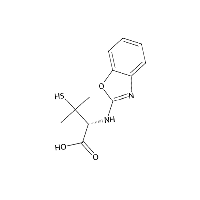 CC(C)(S)[C@H](Nc1nc2ccccc2o1)C(=O)O